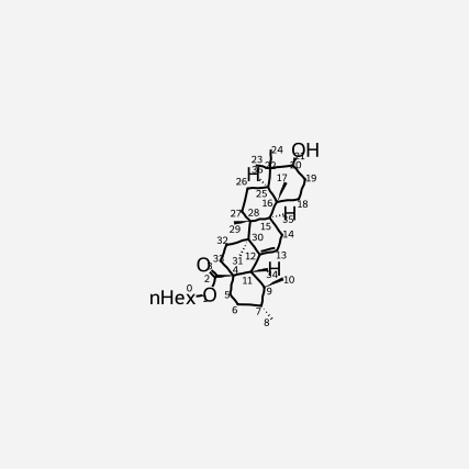 CCCCCCOC(=O)[C@]12CC[C@@H](C)[C@H](C)[C@H]1C1=CC[C@@H]3[C@@]4(C)CC[C@H](O)C(C)(C)[C@@H]4CC[C@@]3(C)[C@]1(C)CC2